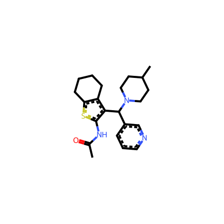 CC(=O)Nc1sc2c(c1C(c1cccnc1)N1CCC(C)CC1)CCCC2